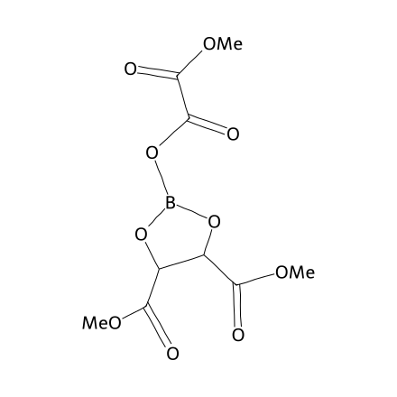 COC(=O)C(=O)OB1OC(C(=O)OC)C(C(=O)OC)O1